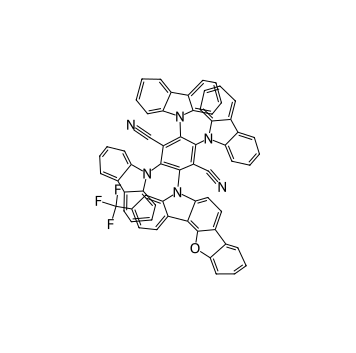 N#Cc1c(-n2c3ccccc3c3ccccc32)c(-n2c3ccccc3c3ccccc32)c(C#N)c(-n2c3cc(C(F)(F)F)ccc3c3c4oc5ccccc5c4ccc32)c1-n1c2ccccc2c2ccccc21